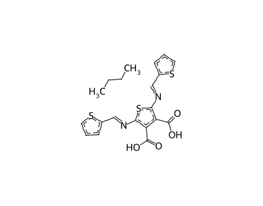 CCCC.O=C(O)c1c(/N=C/c2cccs2)sc(/N=C/c2cccs2)c1C(=O)O